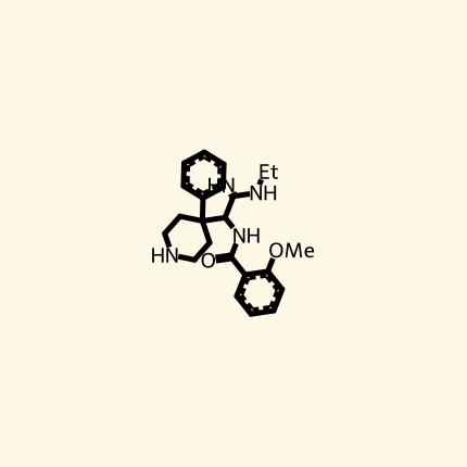 CCNC(=N)C(NC(=O)c1ccccc1OC)C1(c2ccccc2)CCNCC1